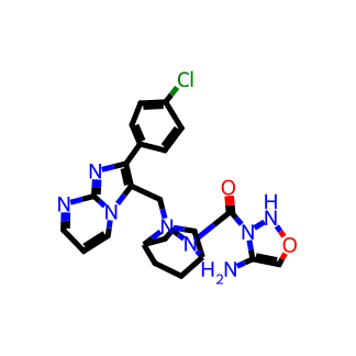 NC1=CONN1C(=O)N1CCC2CCC1CN2Cc1c(-c2ccc(Cl)cc2)nc2ncccn12